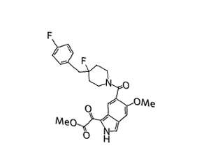 COC(=O)C(=O)c1[nH]cc2cc(OC)c(C(=O)N3CCC(F)(Cc4ccc(F)cc4)CC3)cc12